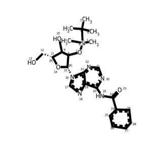 CC(C)(C)[Si](C)(C)OC1C(O)[C@@H](CO)O[C@H]1n1cnc2c(NC(=O)c3ccccc3)ncnc21